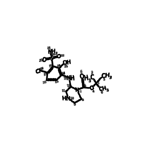 CC(C)(C)OC(=O)N1CCNCC1Nc1ccc(Cl)c(S(N)(=O)=O)c1O